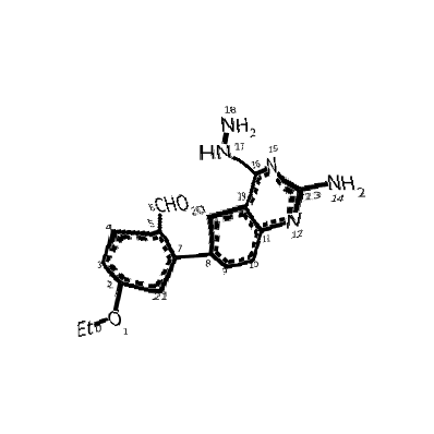 CCOc1ccc(C=O)c(-c2ccc3nc(N)nc(NN)c3c2)c1